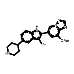 COc1cc(-c2[nH]c3ccc(C4CCNCC4)cc3c2C(C)C)cn2ncnc12